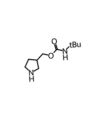 CC(C)(C)NC(=O)OCC1CCNC1